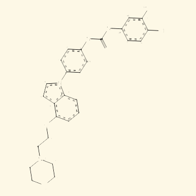 O=C(Nc1ccc(-n2ccc3c(OCCN4CCOCC4)cccc32)cc1)Nc1ccc(Cl)c(C(F)(F)F)c1